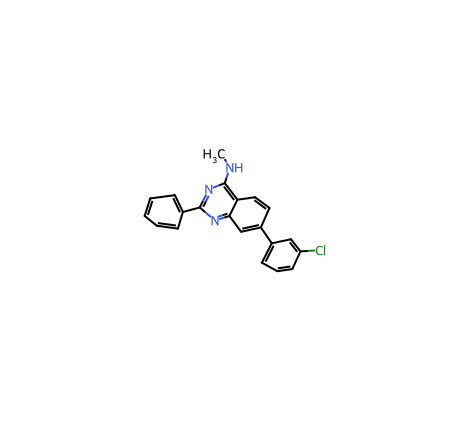 CNc1nc(-c2ccccc2)nc2cc(-c3cccc(Cl)c3)ccc12